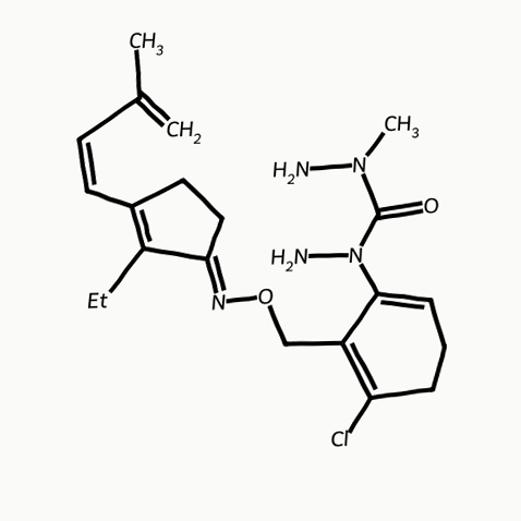 C=C(C)/C=C\C1=C(CC)C(=NOCC2=C(Cl)CCC=C2N(N)C(=O)N(C)N)CC1